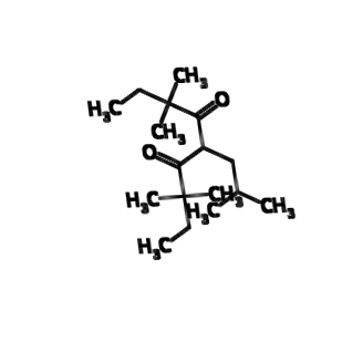 CCC(C)(C)C(=O)C(CC(C)C)C(=O)C(C)(C)CC